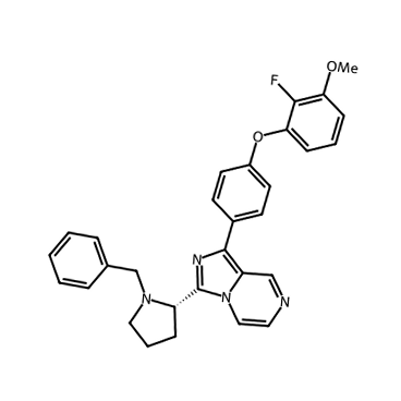 COc1cccc(Oc2ccc(-c3nc([C@@H]4CCCN4Cc4ccccc4)n4ccncc34)cc2)c1F